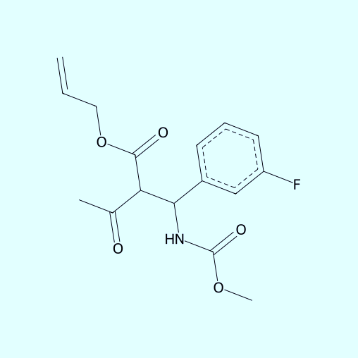 C=CCOC(=O)C(C(C)=O)C(NC(=O)OC)c1cccc(F)c1